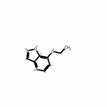 CCOc1ccnc2cnoc12